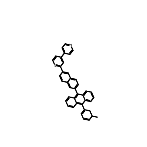 CC1C=CC=C(c2c3ccccc3c(-c3ccc4cc(-c5cc(-c6ccncc6)ccn5)ccc4c3)c3ccccc23)C1